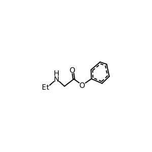 CCNCC(=O)Oc1ccccc1